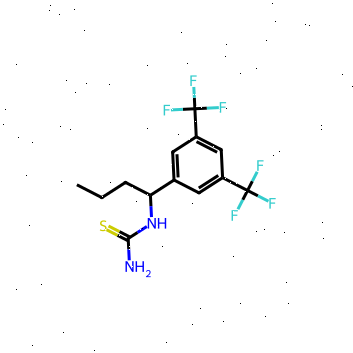 CCCC(NC(N)=S)c1cc(C(F)(F)F)cc(C(F)(F)F)c1